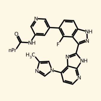 CCCC(=O)Nc1cncc(-c2ccc3[nH]nc(-c4nc5c(-n6cnc(C)c6)ccnc5[nH]4)c3c2F)c1